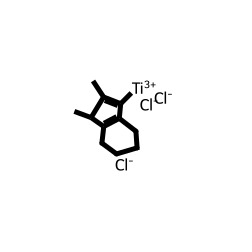 CC1=[C]([Ti+3])C2=C(CCCC2)C1C.[Cl-].[Cl-].[Cl-]